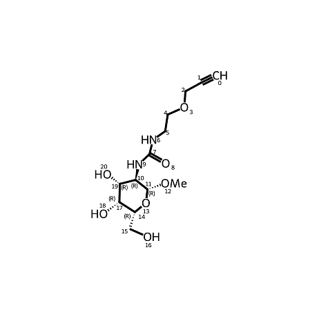 C#CCOCCNC(=O)N[C@H]1[C@H](OC)O[C@H](CO)[C@H](O)[C@@H]1O